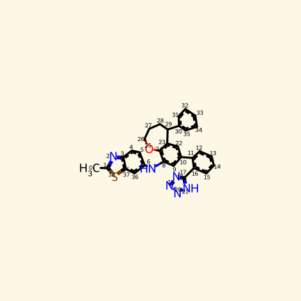 Cc1nc2ccc(Nc3cc(-c4ccccc4-c4nnn[nH]4)cc4c3OCCCC4c3ccccc3)cc2s1